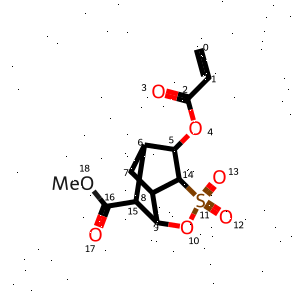 C=CC(=O)OC1C2CC3C(OS(=O)(=O)C31)C2C(=O)OC